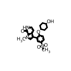 Cn1cc(-c2cc(S(C)(=O)=O)ccc2O[C@H]2CC[C@H](O)CC2)c2cc[nH]c(=O)c21